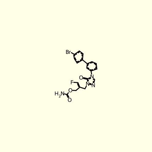 NC(=O)OCC(=CF)Cn1ncn(-c2cccc(-c3ccc(Br)cc3)c2)c1=O